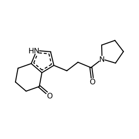 O=C1CCCc2[nH]cc(CCC(=O)N3CCCC3)c21